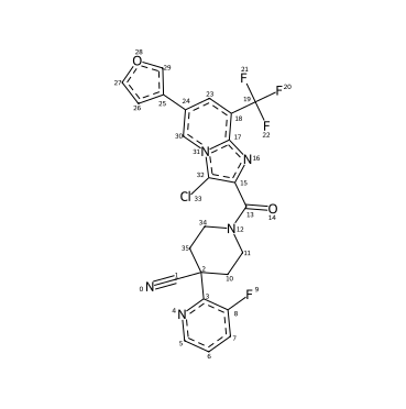 N#CC1(c2ncccc2F)CCN(C(=O)c2nc3c(C(F)(F)F)cc(-c4ccoc4)cn3c2Cl)CC1